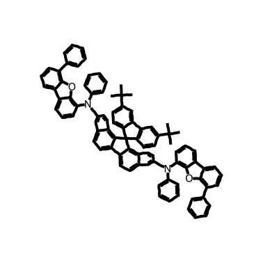 CC(C)(C)c1ccc2c(c1)-c1cc(C(C)(C)C)ccc1C21c2c(ccc3cc(N(c4ccccc4)c4cccc5c4oc4c(-c6ccccc6)cccc45)ccc23)-c2ccc3cc(N(c4ccccc4)c4cccc5c4oc4c(-c6ccccc6)cccc45)ccc3c21